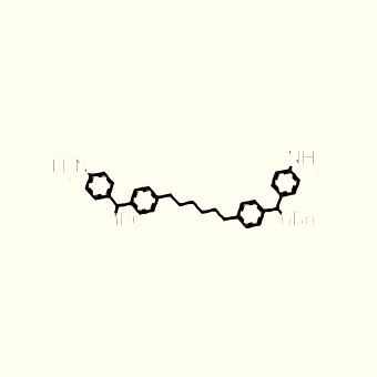 CCCCC(c1ccc(N)cc1)c1ccc(CCCCCCc2ccc(C(CCCC)c3ccc(N)cc3)cc2)cc1